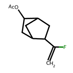 C=C(F)C1CC2CC1CC2OC(C)=O